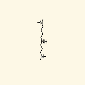 CN(C)CCCCNCCCN(C)C